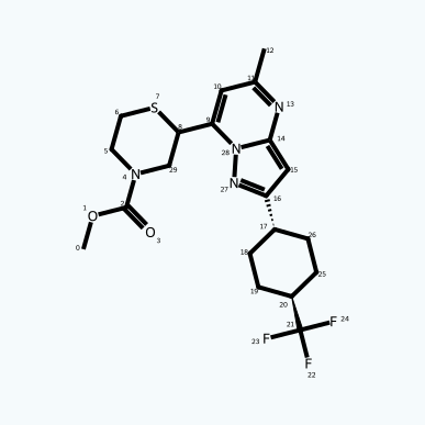 COC(=O)N1CCSC(c2cc(C)nc3cc([C@H]4CC[C@H](C(F)(F)F)CC4)nn23)C1